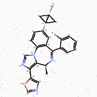 C[C@@H]1N=C(c2ccccc2I)c2cc([C@]34C[C@H]3C4)ccc2-n2cnc(-c3cnco3)c21